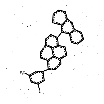 FC(F)(F)c1cc(-c2ccc3ccc4c(-c5c6ccccc6cc6ccccc56)ccc5ccc2c3c54)cc(C(F)(F)F)c1